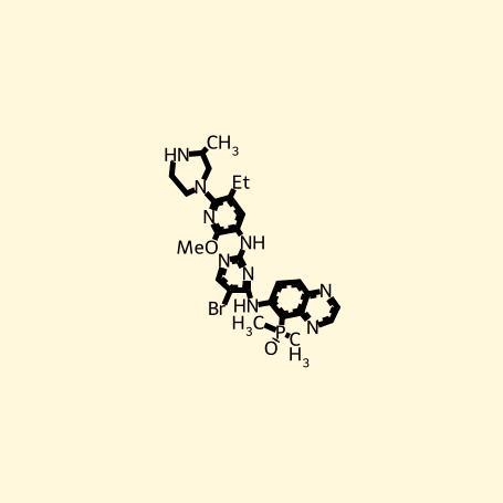 CCc1cc(Nc2ncc(Br)c(Nc3ccc4nccnc4c3P(C)(C)=O)n2)c(OC)nc1N1CCCNC(C)C1